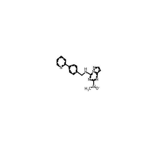 C[S+]([O-])c1nc(NCc2ccc(-c3ccccn3)cc2)n2nccc2n1